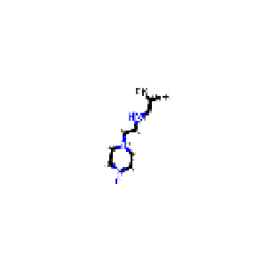 CCCC(CC)CNCCN1CCNCC1